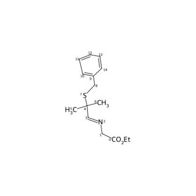 CCOC(=O)C/N=C/C(C)(C)SCc1ccccc1